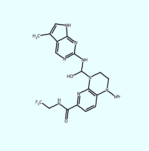 CCCN1CCN(C(O)Nc2ncc3c(C)c[nH]c3n2)c2nc(C(=O)NCC(F)(F)F)ccc21